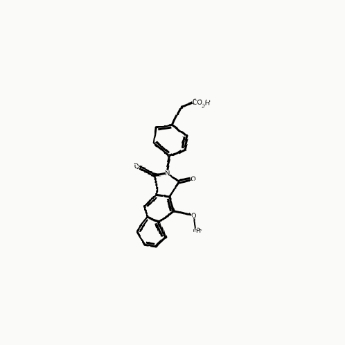 CCCOc1c2c(cc3ccccc13)C(=O)N(c1ccc(CC(=O)O)cc1)C2=O